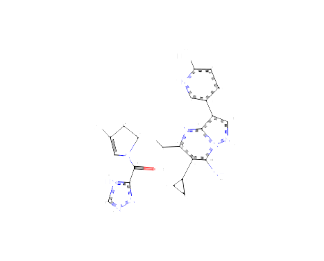 CC1=CN(C(=O)c2nnc[nH]2)[C@@H](CCc2nc3c(-c4ccc(C)nc4)cnn3c(N)c2C2CC2)C1